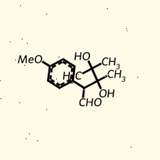 COc1ccc(C(C=O)C(C)(O)C(C)(C)O)cc1